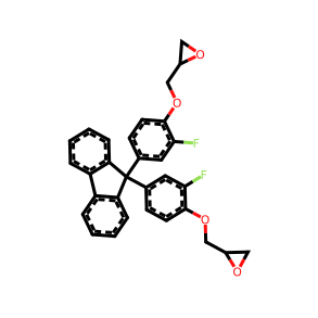 Fc1cc(C2(c3ccc(OCC4CO4)c(F)c3)c3ccccc3-c3ccccc32)ccc1OCC1CO1